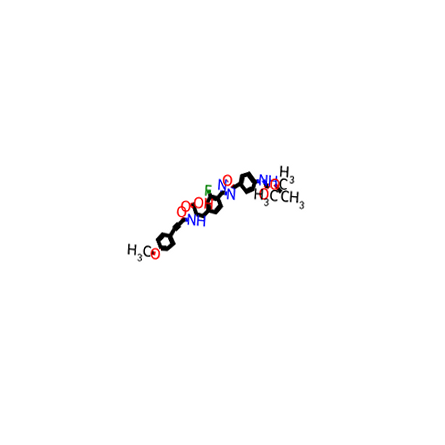 COc1ccc(C#CC(=O)NC(Cc2ccc(-c3noc(-c4ccc(NC(=O)OC(C)(C)C)cc4)n3)c(F)c2)C(=O)O)cc1